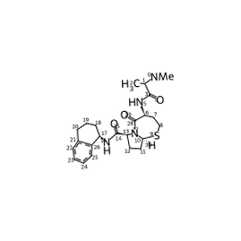 CNC(C)C(=O)N[C@H]1CCS[C@H]2CC[C@@H](C(=O)N[C@@H]3CCCc4ccccc43)N2C1=O